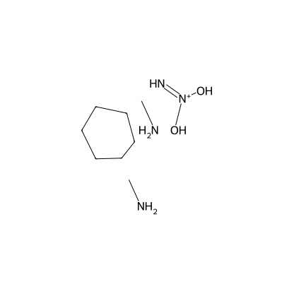 C1CCCCC1.CN.CN.N=[N+](O)O